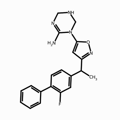 CC(c1ccc(-c2ccccc2)c(F)c1)c1cc(N2CNCN=C2N)on1